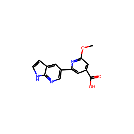 COc1cc(C(=O)O)cc(-c2cnc3[nH]ccc3c2)n1